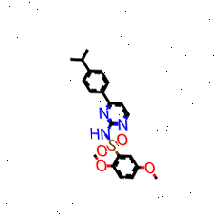 COc1ccc(OC)c(S(=O)(=O)Nc2nccc(-c3ccc(C(C)C)cc3)n2)c1